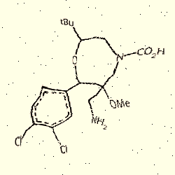 COC1(CN)CN(C(=O)O)CC(C(C)(C)C)OC1c1ccc(Cl)c(Cl)c1